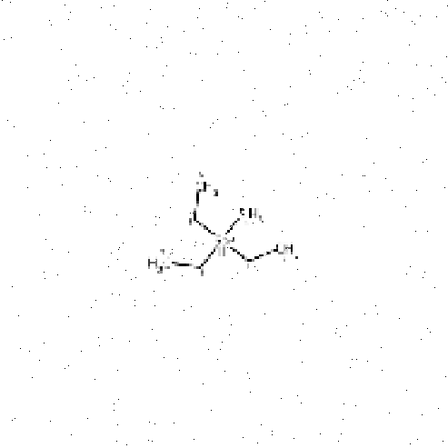 C[CH2][SbH]([SiH3])([CH2]C)[CH2]C